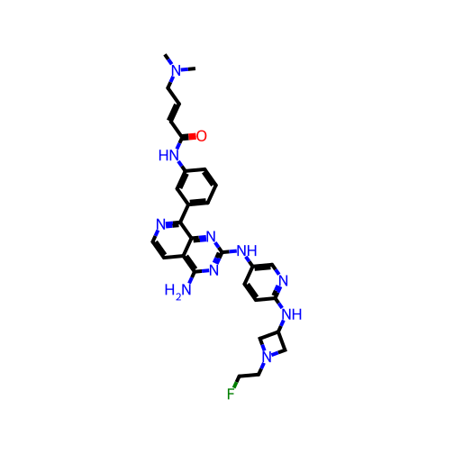 CN(C)CC=CC(=O)Nc1cccc(-c2nccc3c(N)nc(Nc4ccc(NC5CN(CCF)C5)nc4)nc23)c1